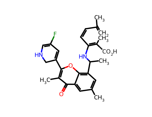 C=C(C)/C=C\C(NC(C)c1cc(C)cc2c(=O)c(C)c(C3=CC(F)=CNC3)oc12)=C(/C)C(=O)O